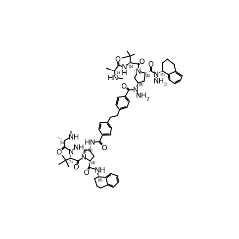 CN[C@@H](C)C(=O)N[C@H](C(=O)N1C[C@H](N(N)C(=O)c2ccc(CCc3ccc(C(=O)N[C@@H]4C[C@@H](C(=O)N[C@@H]5CCCc6ccccc65)N(C(=O)[C@@H](N(N)C(=O)[C@H](C)NC)C(C)(C)C)C4)cc3)cc2)C[C@H]1C(=O)N(N)[C@@H]1CCCc2ccccc21)C(C)(C)C